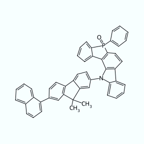 CC1(C)c2cc(-c3cccc4ccccc34)ccc2-c2ccc(-n3c4ccccc4c4ccc5c(c43)-c3ccccc3P5(=O)c3ccccc3)cc21